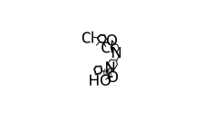 Cc1c(Cl)ccc(OC2CCN(CC3CCN([C@@H](C(=O)O)c4ccccc4)CC3)CC2)c1Cl